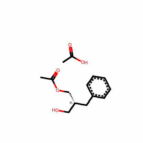 CC(=O)O.CC(=O)OC[C@@H](CO)Cc1ccccc1